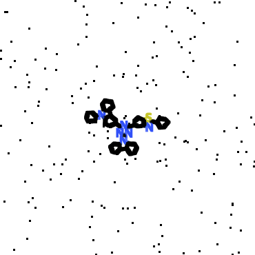 c1ccc(-c2nc3cc(-c4nc(-c5ccc6c(c5)c5ccccc5n6-c5ccccc5)nc(-n5c6ccccc6c6ccccc65)n4)ccc3s2)cc1